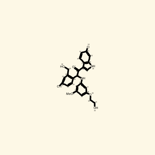 COc1cc(NC(C(=O)c2c[nH]c3cc(Cl)ccc23)c2ccc(Cl)cc2CO)cc(OCCO)c1